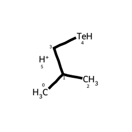 C[C](C)C[TeH].[H+]